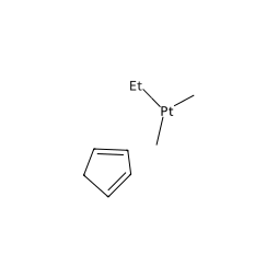 C1=CCC=C1.C[CH2][Pt]([CH3])[CH3]